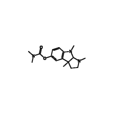 CN(C)C(=O)Oc1ccc2c(c1)C1(C)CCN(C)C1N2C